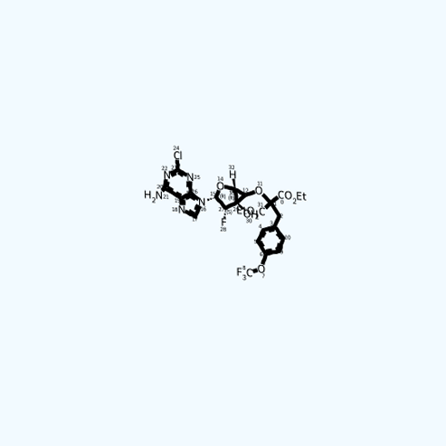 CCOC(=O)C(Cc1ccc(OC(F)(F)F)cc1)(OC1[C@H]2O[C@@H](n3cnc4c(N)nc(Cl)nc43)[C@@H](F)[C@@]12O)C(=O)OCC